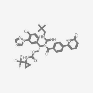 CC(C)(C)CNC(=N)N(C(=O)c1ccc(-c2cccc(=O)[nH]2)cc1)[C@H](COC(=O)NC1(C(F)(F)F)CC1)c1ccc(Cl)c(-n2cncn2)c1